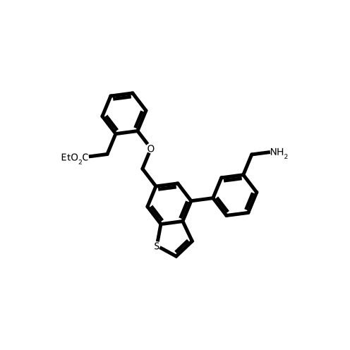 CCOC(=O)Cc1ccccc1OCc1cc(-c2cccc(CN)c2)c2ccsc2c1